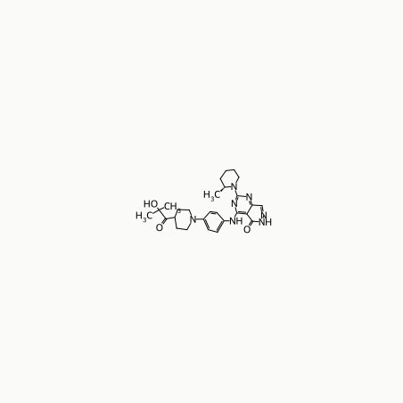 C[C@H]1CCCCN1c1nc(Nc2ccc(N3CCC(C(=O)C(C)(C)O)CC3)cc2)c2c(=O)[nH]ncc2n1